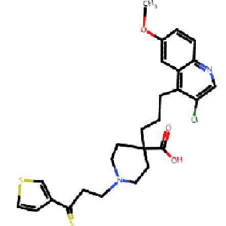 COc1ccc2ncc(Cl)c(CCCC3(C(=O)O)CCN(CCC(=S)c4ccsc4)CC3)c2c1